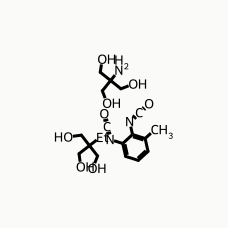 CCC(CO)(CO)CO.Cc1cccc(N=C=O)c1N=C=O.NC(CO)(CO)CO